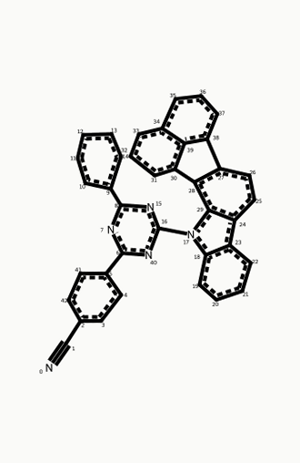 N#Cc1ccc(-c2nc(-c3ccccc3)nc(-n3c4ccccc4c4ccc5c(c43)-c3cccc4cccc-5c34)n2)cc1